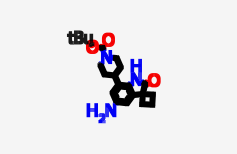 CC(C)(C)OC(=O)N1CCC(c2cc(N)cc3c2NC(=O)C32CCC2)CC1